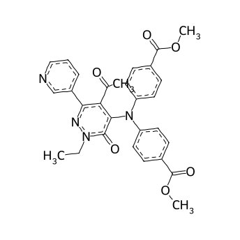 CCn1nc(-c2cccnc2)c(C(C)=O)c(N(c2ccc(C(=O)OC)cc2)c2ccc(C(=O)OC)cc2)c1=O